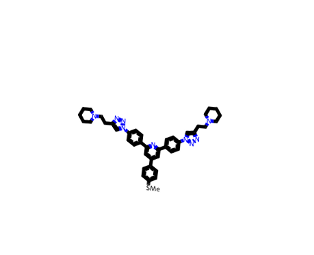 CSc1ccc(-c2cc(-c3ccc(-n4cc(CCN5CCCCC5)nn4)cc3)nc(-c3ccc(-n4cc(CCN5CCCCC5)nn4)cc3)c2)cc1